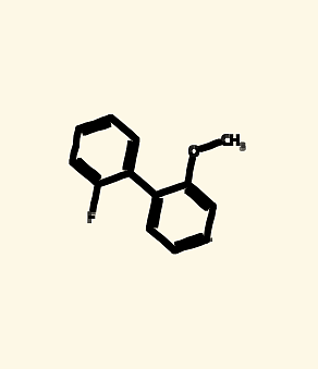 COc1c[c]ccc1-c1ccccc1F